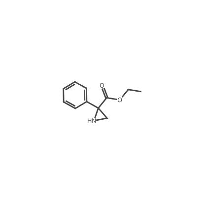 CCOC(=O)C1(c2ccccc2)CN1